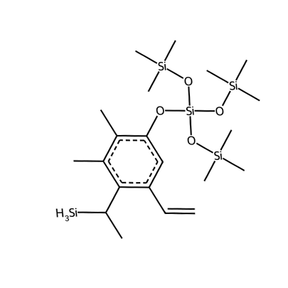 C=Cc1cc(O[Si](O[Si](C)(C)C)(O[Si](C)(C)C)O[Si](C)(C)C)c(C)c(C)c1C(C)[SiH3]